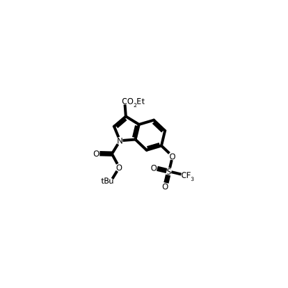 CCOC(=O)c1cn(C(=O)OC(C)(C)C)c2cc(OS(=O)(=O)C(F)(F)F)ccc12